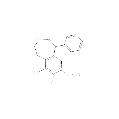 CC(=O)Oc1cc2c(c(Cl)c1OC(C)=O)CCNCC2c1ccccc1.Cl